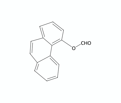 O=COc1cccc2ccc3ccccc3c12